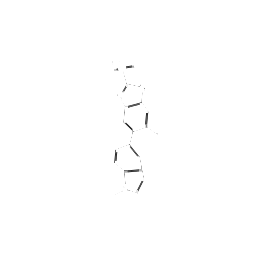 Cn1ccc2cc(-c3cc4nc(S(C)(=O)=O)[nH]c4cc3F)ccc21